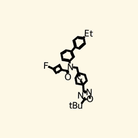 CCc1ccc(-c2cccc(N(CC34CCC(c5noc(C(C)(C)C)n5)(CC3)CC4)C(=O)C34CC(F)(C3)C4)c2)cc1